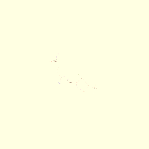 NC(=O)OCc1noc(-c2ncc(C(F)(F)F)cc2Cl)n1